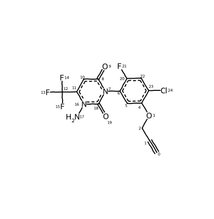 C#CCOc1cc(-n2c(=O)cc(C(F)(F)F)n(N)c2=O)c(F)cc1Cl